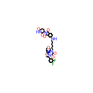 O=C(COc1c(-c2csc(N3C4CCC3COC4)n2)ccc(F)c1F)NCCCCCCNc1ccc2c(c1)C(=O)N(C1CCC(=O)NC1=O)C2=O